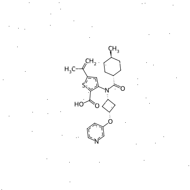 C=C(C)c1cc(N(C(=O)[C@H]2CC[C@H](C)CC2)[C@H]2C[C@@H](Oc3cccnc3)C2)c(C(=O)O)s1